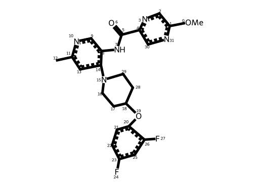 COc1cnc(C(=O)Nc2cnc(C)cc2N2CCC(Oc3ccc(F)cc3F)CC2)cn1